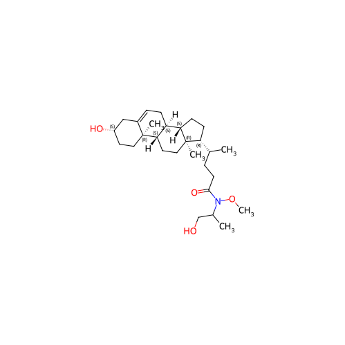 CON(C(=O)CCC(C)[C@H]1CC[C@H]2[C@@H]3CC=C4C[C@@H](O)CC[C@]4(C)[C@H]3CC[C@]12C)C(C)CO